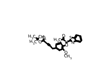 COc1cc(CC#CC(=O)OC(C)(C)C)ccc1ON(C(C)=O)c1nc2ccccc2s1